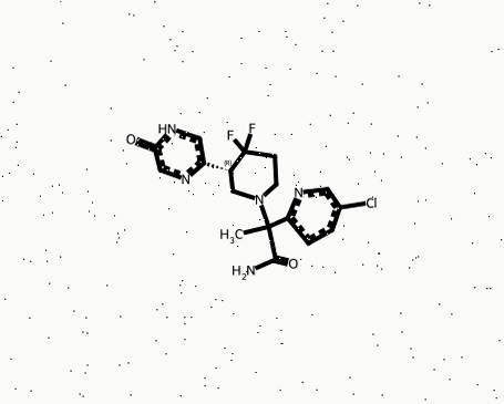 CC(C(N)=O)(c1ccc(Cl)cn1)N1CCC(F)(F)[C@@H](c2c[nH]c(=O)cn2)C1